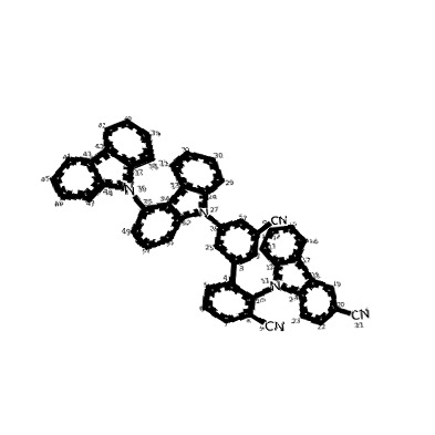 N#Cc1cc(-c2cccc(C#N)c2-n2c3ccccc3c3cc(C#N)ccc32)cc(-n2c3ccccc3c3c(-n4c5ccccc5c5ccccc54)cccc32)c1